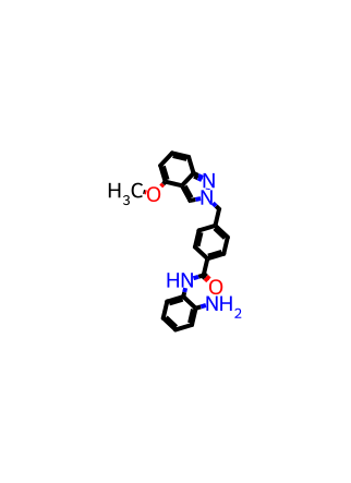 COc1cccc2nn(Cc3ccc(C(=O)Nc4ccccc4N)cc3)cc12